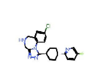 Fc1ccc([C@H]2CC[C@H](c3nnc4n3-c3ccc(Cl)cc3CNC4)CC2)nc1